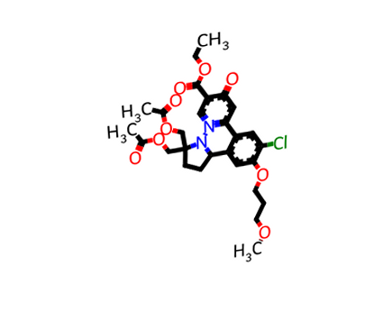 CCOC(=O)c1cn2c(cc1=O)-c1cc(Cl)c(OCCCOC)cc1C1CCC(COC(C)=O)(COC(C)=O)N12